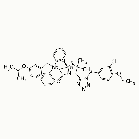 CCOc1ccc(Cn2nnnc2C2N3C(=O)C([N+](Cc4cccc(OC(C)C)c4)(c4ccccc4)c4ccccc4)[C@@H]3SC2(C)C)cc1Cl